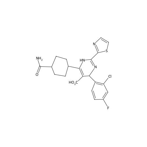 NC(=O)C1CCC(C2=C(C(=O)O)C(c3ccc(F)cc3Cl)N=C(c3nccs3)N2)CC1